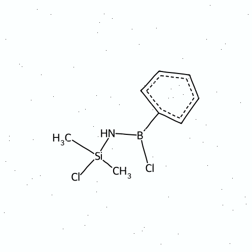 C[Si](C)(Cl)NB(Cl)c1ccccc1